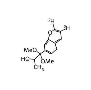 [2H]C1=C([2H])OC2=CC(C(OC)(OC)C(C)O)=CCC2=C1